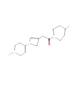 O=C(CC1CN(C2CCN(I)CC2)C1)N1CCC(I)CC1